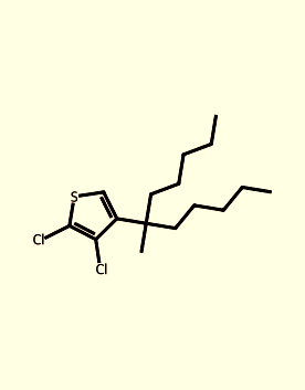 CCCCCC(C)(CCCCC)c1csc(Cl)c1Cl